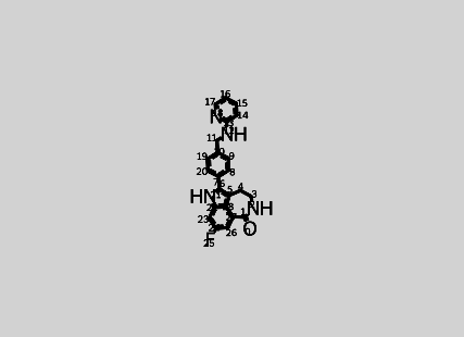 O=C1NCCc2c(-c3ccc(CNc4ccccn4)cc3)[nH]c3cc(F)cc1c23